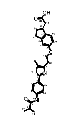 Cc1oc(-c2ccc(NC(=O)C(C)C)cc2)nc1CCOc1ccc2c(c1)CC[C@H]2CC(=O)O